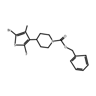 Cc1c(Br)sc(F)c1C1CCN(C(=O)OCc2ccccc2)CC1